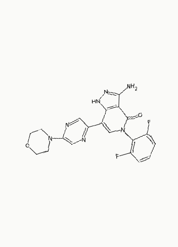 Nc1n[nH]c2c(-c3cnc(N4CCOCC4)cn3)cn(-c3c(F)cccc3F)c(=O)c12